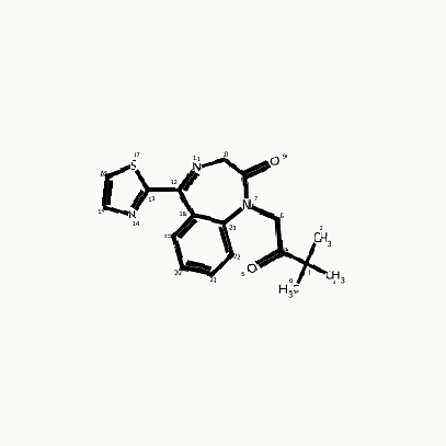 CC(C)(C)C(=O)CN1C(=O)CN=C(c2nccs2)c2ccccc21